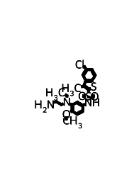 CCN(CCN)c1cc(NS(=O)(=O)c2sc3ccc(Cl)cc3c2C)ccc1OC